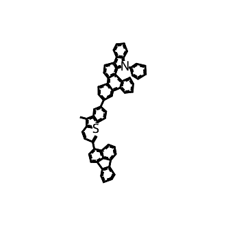 C=C(/C=C\c1sc2ccc(-c3ccc4c(c3)c3ccccc3c3c4ccc4c5ccccc5n(-c5ccccc5)c43)cc2c1C)c1ccc2c3c(cccc13)-c1ccccc1-2